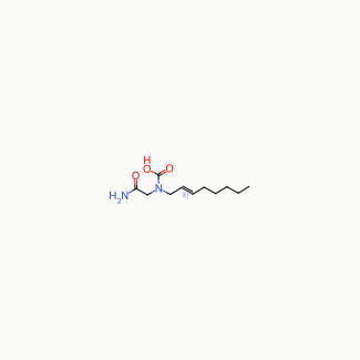 CCCCC/C=C/CN(CC(N)=O)C(=O)O